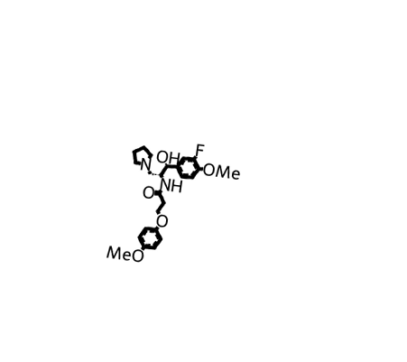 COc1ccc(OCCC(=O)N[C@H](CN2CCCC2)[C@H](O)c2ccc(OC)c(F)c2)cc1